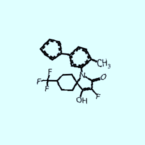 Cc1ccc(-c2ccccc2)cc1N1C(=O)C(F)=C(O)C12CCC(C(F)(F)F)CC2